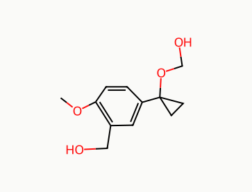 COc1ccc(C2(OCO)CC2)cc1CO